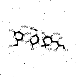 CC(=O)N[C@H]1[C@H]([C@H](O)[C@H](O)CO)O[C@@](O[C@H]2[C@@H](O)[C@@H](CO)O[C@@H](O[C@H]3[C@H](O)[C@@H](NC(C)=O)C(O)O[C@@H]3CO)[C@@H]2O)(C(=O)O)C[C@@H]1O